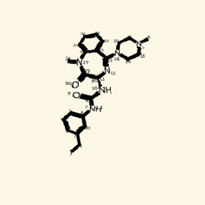 CCc1cccc(NC(=O)N[C@@H]2N=C(N3CCN(C)CC3)c3ccccc3N(C)C2=O)c1